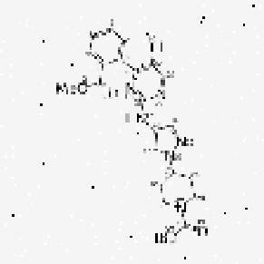 COC(=O)c1ccccc1-c1nc(Nc2cnn(C3CCN(C(=O)C(C)(C)C)CC3)c2)ncc1Cl